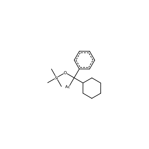 CC(=O)C(O[Si](C)(C)C)(c1ccccc1)C1CCCCC1